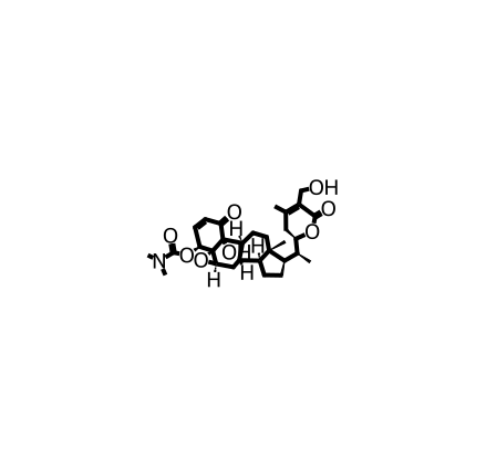 CC1=C(CO)C(=O)O[C@@H]([C@@H](C)[C@H]2CC[C@H]3[C@@H]4C[C@H]5O[C@]56[C@@H](OC(=O)N(C)C)C=CC(=O)C6(O)[C@H]4CC[C@]23C)C1